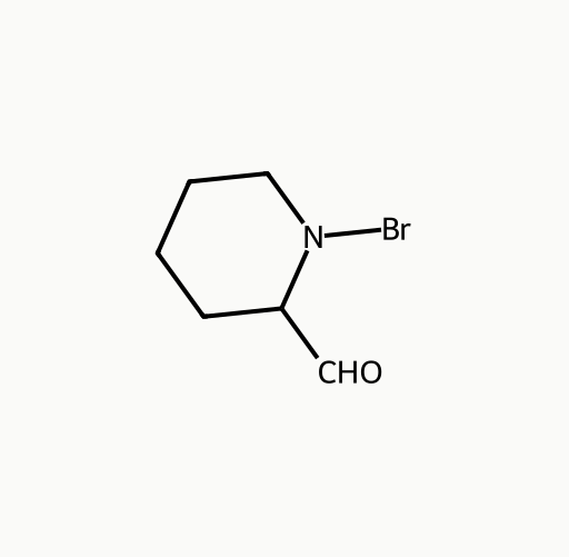 O=CC1CCCCN1Br